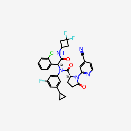 N#Cc1ccnc(N2C(=O)CC[C@H]2C(=O)N(c2cc(F)cc(C3CC3)c2)[C@H](C(=O)NC2CC(F)(F)C2)c2ccccc2Cl)c1